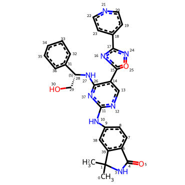 CC1(C)NC(=O)c2ccc(Nc3ncc(-c4nc(-c5ccncc5)no4)c(N[C@H](CO)c4ccccc4)n3)cc21